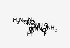 NCCOc1cnc2ccc(-c3[nH]c(CNc4cc(F)cc(C(N)=O)c4)nc3-c3cccc(C(F)F)n3)cc2n1